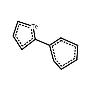 c1ccc(-c2ccc[te]2)cc1